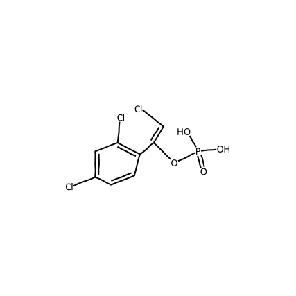 O=P(O)(O)O/C(=C/Cl)c1ccc(Cl)cc1Cl